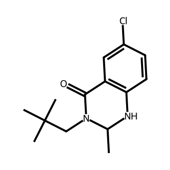 CC1Nc2ccc(Cl)cc2C(=O)N1CC(C)(C)C